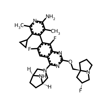 Cc1nc(N)c(C)c(-c2c(F)cc3c(N4C[C@H]5CC[C@@H](C4)N5)nc(OC[C@@]45CCCN4C[C@H](F)C5)nc3c2F)c1C1CC1